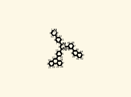 C1=CN=CC(c2ccc(C3=CC(c4ccc(-c5cc6ccccc6c6ccccc56)cc4)NC(C4=CC(c5ccc6ccccc6c5)=CCC4)=N3)cc2)C1